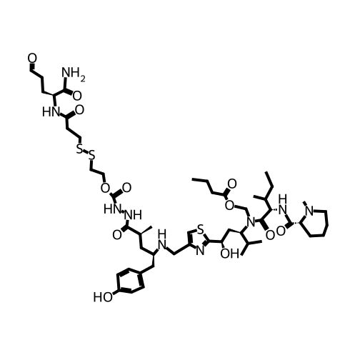 CCCC(=O)OCN(C(=O)[C@@H](NC(=O)[C@H]1CCCCN1C)C(C)CC)[C@H](C[C@@H](O)c1nc(CN[C@@H](Cc2ccc(O)cc2)C[C@H](C)C(=O)NNC(=O)OCCSSCCC(=O)N[C@@H](CCC=O)C(N)=O)cs1)C(C)C